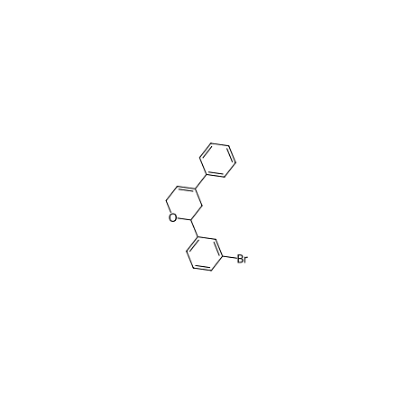 Brc1cccc(C2CC(c3ccccc3)=CCO2)c1